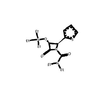 CCN(CC)C(=O)N1C(=O)[C@@H](O[Si](CC)(CC)CC)[C@H]1c1cccs1